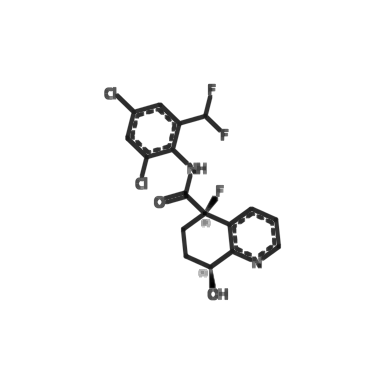 O=C(Nc1c(Cl)cc(Cl)cc1C(F)F)[C@@]1(F)CC[C@H](O)c2ncccc21